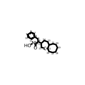 O=C(NO)C(Cc1ccccc1)C1CCC2CCCCCCC2CC1